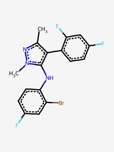 Cc1nn(C)c(Nc2ccc(F)cc2Br)c1-c1ccc(F)cc1F